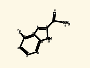 NC(=O)c1cc2c(F)cccc2[nH]1